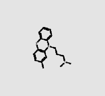 Cc1ccc2c(c1)N(CCCN(C)C)c1ccccc1S2